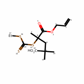 C=CCOC(=O)C(C)(CC(C)(C)C(=O)O)SC(=S)SCC